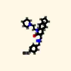 O=Cc1ccc(CNCc2cc3cc4c(cc3n(CCN3CCCCC3)c2=O)CCC4)cc1